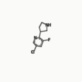 Fc1cc(Cl)cnc1C1CCNC1